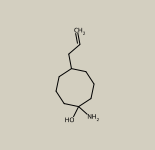 C=CCC1CCCC(N)(O)CCC1